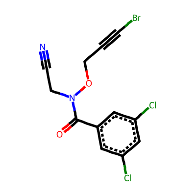 N#CCN(OCC#CBr)C(=O)c1cc(Cl)cc(Cl)c1